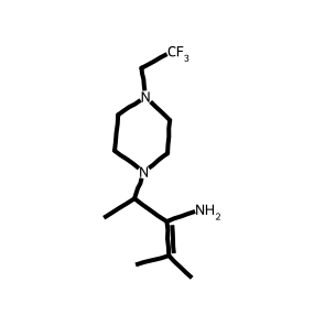 CC(C)=C(N)C(C)N1CCN(CC(F)(F)F)CC1